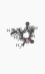 C=N/C(=C\C=C/C)SSC[C@H](NC(=O)[C@@H]1CSSC[C@H](NC(=O)[C@H](N)Cc2ccccc2)C(=O)N[C@@H](Cc2ccc(O)cc2)C(=O)N[C@H](Cc2c[nH]c3ccccc23)C(=O)N[C@@H](CCCCCN)C(=O)N[C@@H]([C@@H](C)O)C(=O)N1)C(N)=O